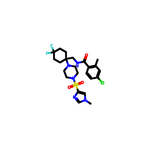 Cc1cc(Cl)ccc1C(=O)NCC1(N2CCN(S(=O)(=O)c3cn(C)cn3)CC2)CCC(F)(F)CC1